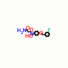 NC(=O)CC(=O)N(O)c1ccc(OCc2cccc(F)c2)cc1